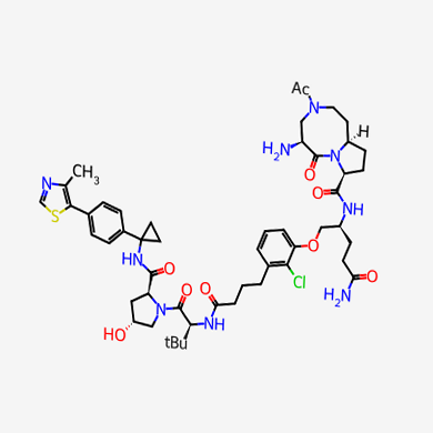 CC(=O)N1CC[C@H]2CC[C@@H](C(=O)N[C@@H](CCC(N)=O)COc3cccc(CCCC(=O)N[C@H](C(=O)N4C[C@H](O)C[C@H]4C(=O)NC4(c5ccc(-c6scnc6C)cc5)CC4)C(C)(C)C)c3Cl)N2C(=O)[C@@H](N)C1